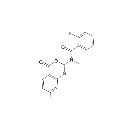 Cc1ccc2c(=O)oc(N(C)C(=O)c3ccccc3I)nc2c1